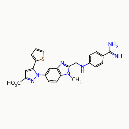 Cn1c(CNc2ccc(C(=N)N)cc2)nc2cc(-n3nc(C(=O)O)cc3-c3cccs3)ccc21